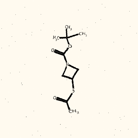 CC(=O)SC1CN(C(=O)OC(C)(C)C)C1